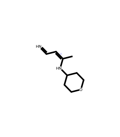 C/C(=C/C=N)NC1CCOCC1